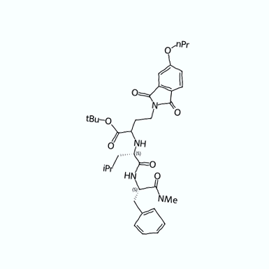 CCCOc1ccc2c(c1)C(=O)N(CCC(N[C@@H](CC(C)C)C(=O)N[C@@H](Cc1ccccc1)C(=O)NC)C(=O)OC(C)(C)C)C2=O